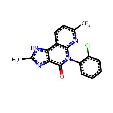 Cc1nc2c(=O)n(-c3ccccc3Cl)c3nc(C(F)(F)F)ccc3c2[nH]1